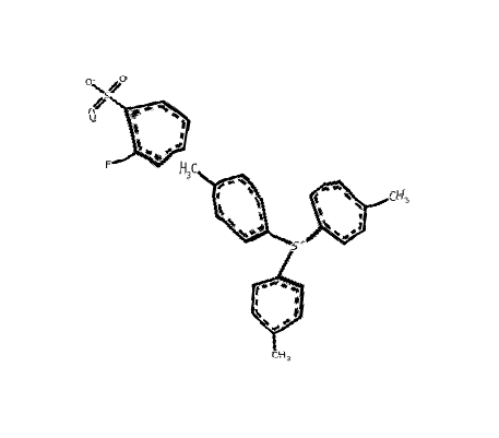 Cc1ccc([S+](c2ccc(C)cc2)c2ccc(C)cc2)cc1.O=S(=O)([O-])c1ccccc1F